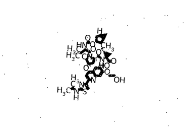 CC[C@@H]1C[C@]1(NC(=O)[C@@H]1C[C@H](Oc2cc(-c3csc(NC(C)C)n3)nc3cc(OCCO)ccc23)CN1C(=O)[C@@H](NC(=O)OC1CC2C[C@H]2C1)C(C)(C)C)C(=O)O